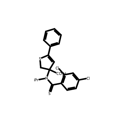 CC(C)N(C(=S)c1ccc(Cl)cc1Cl)C1(C(=O)O)C=C(c2ccccc2)SC1